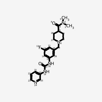 CN(C)C(=O)C1CCN(Cc2cc(F)cc(NC(=O)Nc3cccnc3)c2)CC1